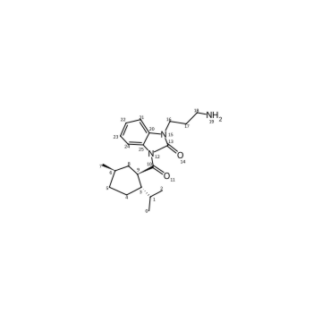 CC(C)[C@@H]1CC[C@@H](C)C[C@H]1C(=O)n1c(=O)n(CCCN)c2ccccc21